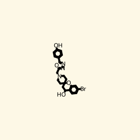 Oc1ccc(-c2nnc(CN3CCC4(CC3)CC(O)c3ccc(Br)cc3O4)o2)cc1